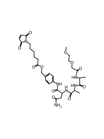 COCCOCC(=O)NC(C)C(=O)NC(C)C(=O)NC(CC(N)=O)C(=O)Nc1ccc(COC(=O)CCCCCN2C(=O)C=CC2=O)cc1